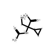 CC(=O)NC(CN)(C(N)=O)C1CC1